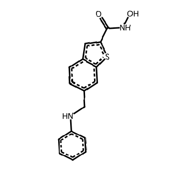 O=C(NO)c1cc2ccc(CNc3ccccc3)cc2s1